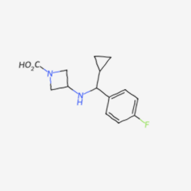 O=C(O)N1CC(NC(c2ccc(F)cc2)C2CC2)C1